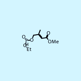 CCO[PH](=O)OCC(C)=CC(=O)OC